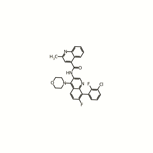 Cc1cc(C(=O)Nc2cnc3c(-c4cccc(Cl)c4F)c(F)ccc3c2N2CCOCC2)c2ccccc2n1